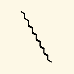 [CH2]CC=CC=CC=CC=CC=CCCCC